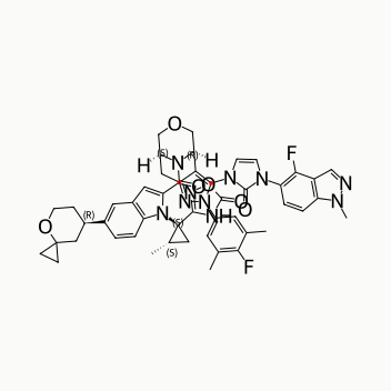 Cc1cc(-n2nc3c(c2-n2ccn(-c4ccc5c(cnn5C)c4F)c2=O)[C@@H]2COC[C@H](C3)N2C(=O)c2cc3cc([C@@H]4CCOC5(CC5)C4)ccc3n2[C@@]2(c3noc(=O)[nH]3)C[C@@H]2C)cc(C)c1F